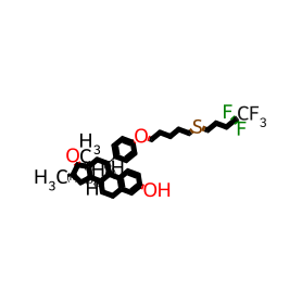 C[C@@H]1C[C@H]2[C@@H]3CCc4cc(O)ccc4[C@H]3[C@@H](c3ccc(OCCCCCSCCCC(F)(F)C(F)(F)F)cc3)C[C@]2(C)C1=O